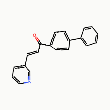 O=C(/C=C/c1cccnc1)c1ccc(-c2ccccc2)cc1